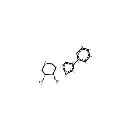 O[C@H]1[C@H](S)COC[C@@H]1n1cc(-c2ccccc2)nn1